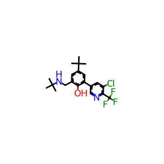 CC(C)(C)NCc1cc(C(C)(C)C)cc(-c2cnc(C(F)(F)F)c(Cl)c2)c1O